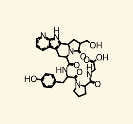 O=C(O)CNC(=O)C1CCCN1C(=O)C(Cc1ccc(O)cc1)NC(=O)C1Cc2c([nH]c3ncccc23)C2CC(CO)C(=O)N12